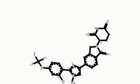 Cn1cc(-c2ccc3c(c2)CN(C2CCC(=O)NC2=O)C3=O)nc1-c1ccc(OC(F)(F)F)cc1Cl